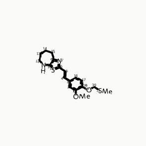 COc1cc(/C=C/c2nc3c(s2)NCCCC3)ccc1OCSC